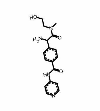 CN(CCO)C(=O)C(N)c1ccc(C(=O)Nc2ccncc2)cc1